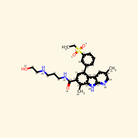 CCS(=O)(=O)c1cccc(-c2cc(C(=O)NCCCNCCO)c(C)c3[nH]c4ncc(C)cc4c23)c1